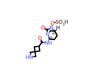 O=C(N[C@@H]1CC[C@@H]2CN1C(=O)N2OS(=O)(=O)O)C1CC2(CNC2)C1